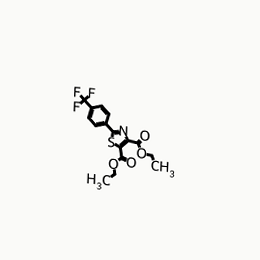 CCOC(=O)c1nc(-c2ccc(C(F)(F)F)cc2)sc1C(=O)OCC